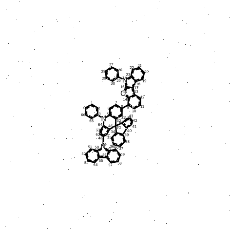 c1ccc(N2c3ccc(-c4cccc5c4oc4c5c5ccccc5n4-c4ccccc4)cc3C3(c4ccccc4-c4ccccc43)c3cc(-n4c5ccccc5c5ccccc54)ccc32)cc1